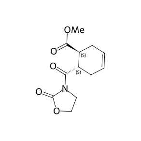 COC(=O)[C@H]1CC=CC[C@@H]1C(=O)N1CCOC1=O